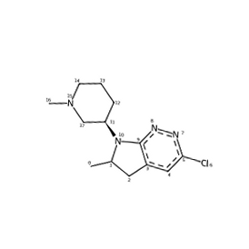 CC1Cc2cc(Cl)nnc2N1[C@@H]1CCCN(C)C1